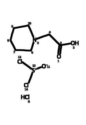 Cl.O=C(O)CN1CCCCC1.[O-][S+](Cl)Cl